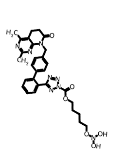 Cc1nc(C)c2c(n1)N(Cc1ccc(-c3ccccc3-c3nnn(C(=O)OCCCCCON(O)O)n3)cc1)C(=O)CC2